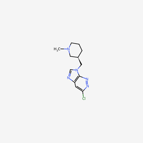 CN1CCC[C@@H](Cn2cnc3cc(Cl)nnc32)C1